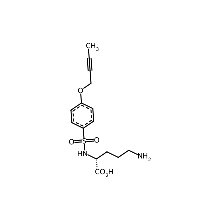 CC#CCOc1ccc(S(=O)(=O)N[C@H](CCCN)C(=O)O)cc1